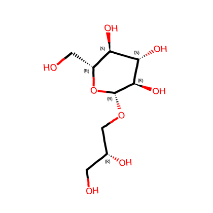 OC[C@@H](O)CO[C@@H]1O[C@H](CO)[C@@H](O)[C@H](O)[C@H]1O